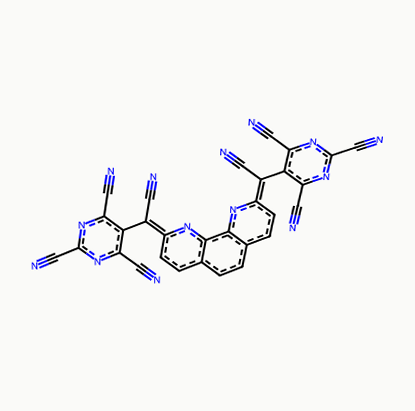 N#C/C(c1c(C#N)nc(C#N)nc1C#N)=c1/ccc2ccc3cc/c(=C(/C#N)c4c(C#N)nc(C#N)nc4C#N)nc3c2n1